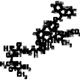 C[C@H](N)C(=O)N[C@@H](C)C(=O)N[C@@H](C)C(=O)NCCCNc1ncc(Cc2cc(C[C@H](NC(=O)OCC3c4ccccc4-c4ccccc43)C(=O)N[C@@H](C)C(=O)N[C@@H](C)C(=O)NCC(=O)O)ccc2O)s1